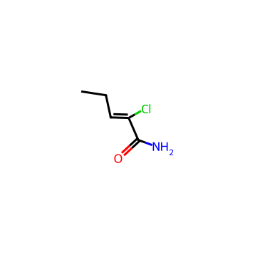 CCC=C(Cl)C(N)=O